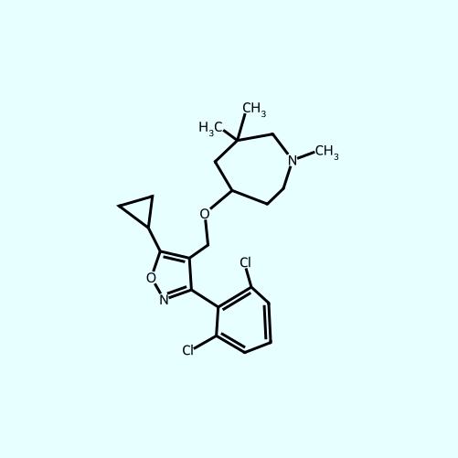 CN1CCC(OCc2c(-c3c(Cl)cccc3Cl)noc2C2CC2)CC(C)(C)C1